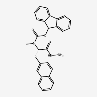 CN(C(=O)OC1c2ccccc2-c2ccccc21)[C@@H](Cc1ccc2ccccc2c1)C(=O)NN